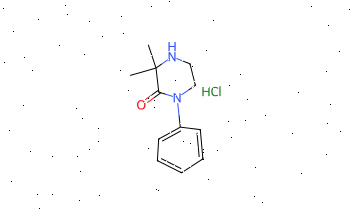 CC1(C)NCCN(c2ccccc2)C1=O.Cl